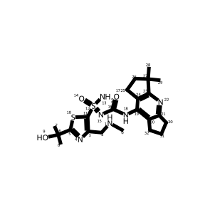 CNCc1nc(C(C)(C)O)sc1S(N)(=O)=NC(=O)Nc1c2c(nc3c1CCC3(C)C)CCC2